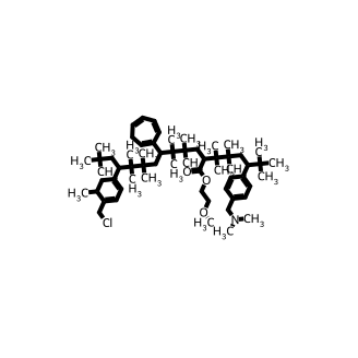 COCCOC(=O)C(CC(C)(C)C(C)(C)C(CC(C)(C)C(C)(C)C(CC(C)(C)C)C1=CC=C(CCl)C(C)C1)C1=CCC=CC=C1)C(C)(C)C(C)(C)CC(c1ccc(CN(C)C)cc1)C(C)(C)C